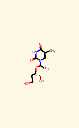 Cc1cn(C(C)O[C@H](CO)CCO)c(=O)[nH]c1=O